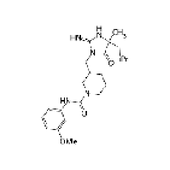 COc1cccc(NC(=O)N2CCCC(CN3C(=N)NC(C)(CC(C)C)C3=O)C2)c1